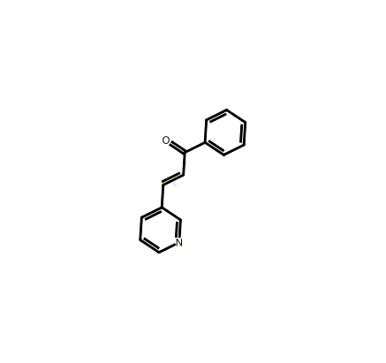 O=C(/C=C/c1cccnc1)c1ccccc1